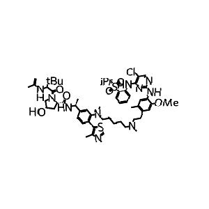 C=C(C)N[C@H](C(=O)N1C[C@H](O)C[C@H]1C(=O)N[C@@H](C)c1ccc(-c2scnc2C)c(N(C)CCCCCN(C)CCc2cc(OC)c(Nc3ncc(Cl)c(Nc4ccccc4S(=O)(=O)C(C)C)n3)cc2C)c1)C(C)(C)C